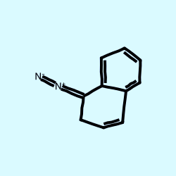 [N-]=[N+]=C1CC=Cc2ccccc21